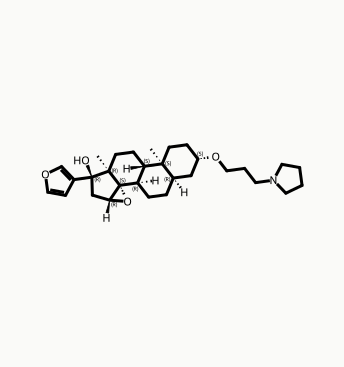 C[C@]12CC[C@H](OCCCN3CCCC3)C[C@H]1CC[C@@H]1[C@@H]2CC[C@@]2(C)[C@@]13O[C@@H]3C[C@]2(O)c1ccoc1